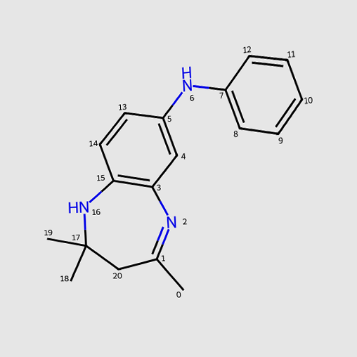 CC1=Nc2cc(Nc3ccccc3)ccc2NC(C)(C)C1